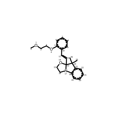 COCCOc1ccccc1C=CC12OCCN1c1ccccc1C2(C)C